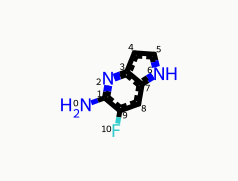 Nc1nc2cc[nH]c2cc1F